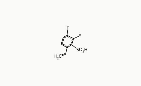 C=Cc1ccc(F)c(F)c1S(=O)(=O)O